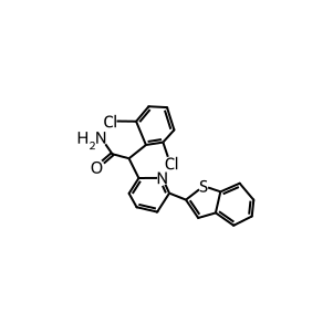 NC(=O)C(c1cccc(-c2cc3ccccc3s2)n1)c1c(Cl)cccc1Cl